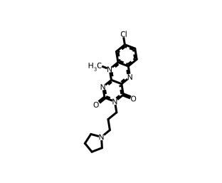 Cn1c2nc(=O)n(CCCN3CCCC3)c(=O)c-2nc2ccc(Cl)cc21